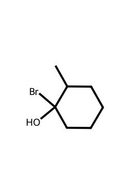 CC1CCCCC1(O)Br